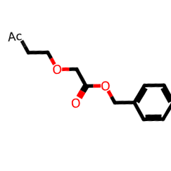 CC(=O)CCOCC(=O)OCc1ccccc1